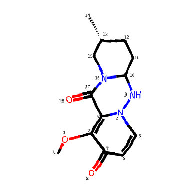 COc1c2n(ccc1=O)NC1CC[C@@H](C)CN1C2=O